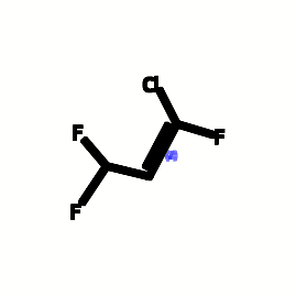 F/C(Cl)=C/C(F)F